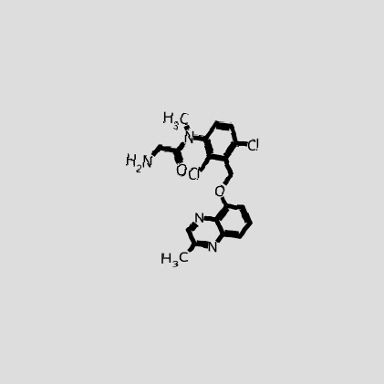 Cc1cnc2c(OCc3c(Cl)ccc(N(C)C(=O)CN)c3Cl)cccc2n1